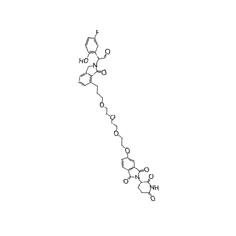 O=CC(c1cc(F)ccc1O)N1Cc2cccc(CCCOCCOCCOCCOc3ccc4c(c3)C(=O)N(C3CCC(=O)NC3=O)C4=O)c2C1=O